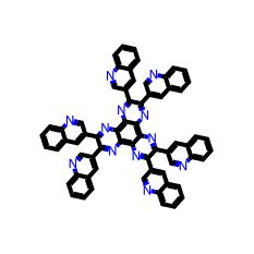 c1ccc2ncc(-c3nc4c5nc(-c6cnc7ccccc7c6)c(-c6cnc7ccccc7c6)nc5c5nc(-c6cnc7ccccc7c6)c(-c6cnc7ccccc7c6)nc5c4nc3-c3cnc4ccccc4c3)cc2c1